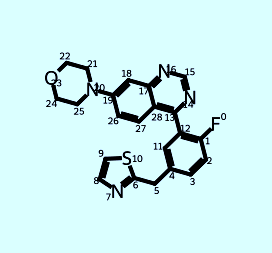 Fc1ccc(Cc2nccs2)cc1-c1ncnc2cc(N3CCOCC3)ccc12